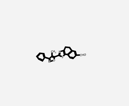 Cc1c(-c2ccccc2)noc1-c1nc2c(s1)-c1ccc(C=O)cc1CC2